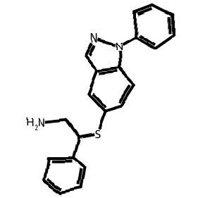 NCC(Sc1ccc2c(cnn2-c2ccccc2)c1)c1ccccc1